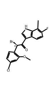 COc1cc(Cl)ccc1[C@@H](Br)C(=O)c1c[nH]c2c(C)c(F)ccc12